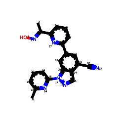 CC(=NO)c1cccc(-c2cc(C#N)c3cnn(-c4cccc(C)n4)c3c2)n1